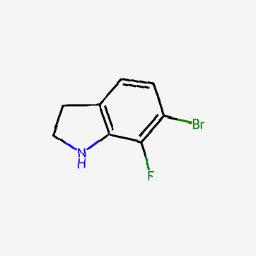 Fc1c(Br)ccc2c1NCC2